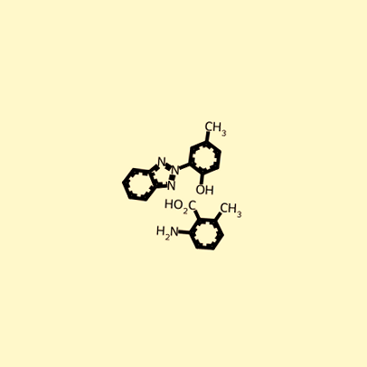 Cc1ccc(O)c(-n2nc3ccccc3n2)c1.Cc1cccc(N)c1C(=O)O